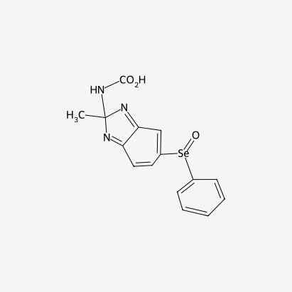 CC1(NC(=O)O)N=c2ccc([Se](=O)c3ccccc3)cc2=N1